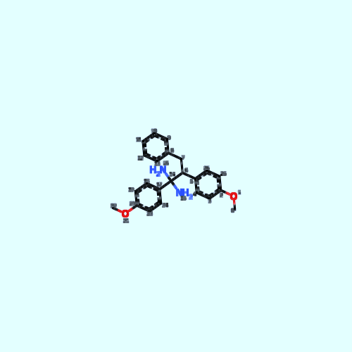 COc1ccc(C(Cc2ccccc2)C(N)(N)c2ccc(OC)cc2)cc1